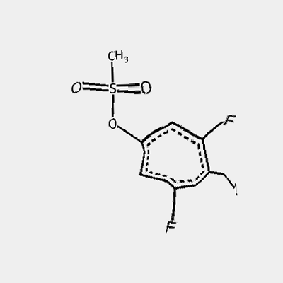 CS(=O)(=O)Oc1cc(F)c(I)c(F)c1